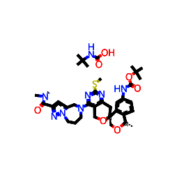 CC(C)(C)NC(=O)O.CSc1nc2c(c(N3CCCn4nc(C(=O)N(C)C)cc4C3)n1)CO[C@]1(CO[C@@H](C)c3ccc(NC(=O)OC(C)(C)C)cc31)C2